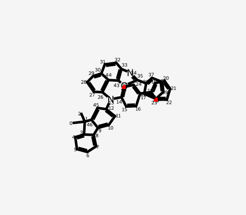 CC1(C)c2ccccc2-c2ccc(N(c3ccc(-c4ccccc4)cc3)c3cccc4ccc5nc(-c6ccccc6)oc5c34)cc21